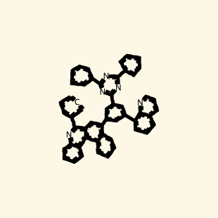 c1ccc(-c2nc(-c3ccccc3)nc(-c3cc(-c4cc5c(-c6ccccc6)nc6ccccc6c5c5ccccc45)cc(-c4cccc5cccnc45)c3)n2)cc1